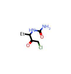 CCC(NC(N)=O)C(=O)CCl